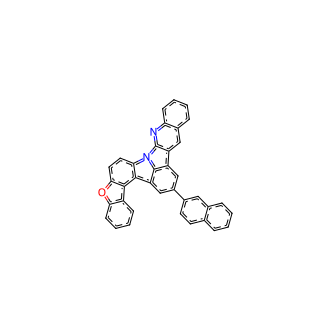 c1ccc2cc(-c3cc4c5cc6ccccc6nc5n5c6ccc7oc8ccccc8c7c6c(c3)c45)ccc2c1